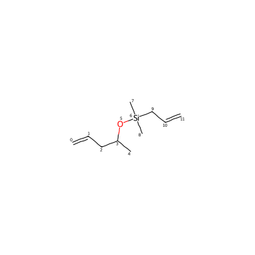 C=CCC(C)O[Si](C)(C)CC=C